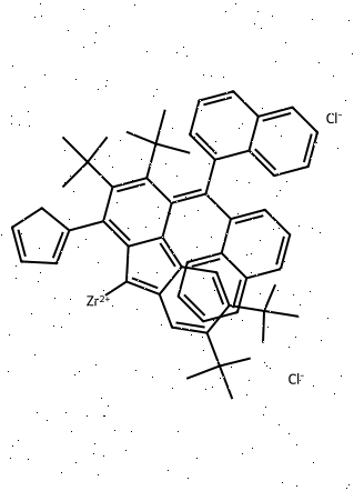 CC(C)(C)c1cc2c(cc1C(C)(C)C)=c1c(c(C3=CC=CC3)c(C(C)(C)C)c(C(C)(C)C)c1=C(c1cccc3ccccc13)c1cccc3ccccc13)[C]=2[Zr+2].[Cl-].[Cl-]